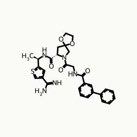 C[C@@H](NC(=O)[C@@H]1CC2(CN1C(=O)CNC(=O)c1cccc(-c3ccccc3)c1)OCCO2)c1cc(C(=N)N)cs1